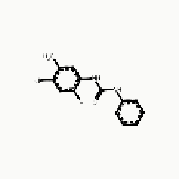 Cc1cc(NC(=O)Nc2ccccc2)c(F)cc1Cl